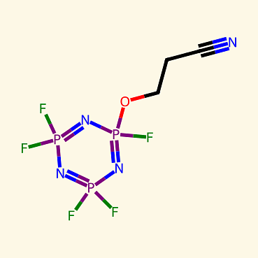 N#CCCOP1(F)=NP(F)(F)=NP(F)(F)=N1